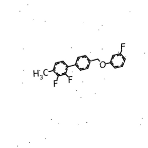 Cc1ccc(-c2ccc(COc3cccc(F)c3)cc2)c(F)c1F